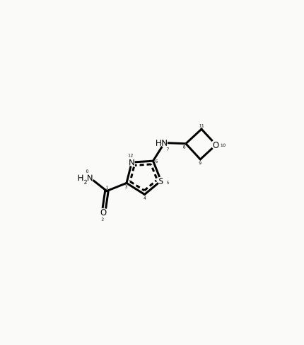 NC(=O)c1csc(NC2COC2)n1